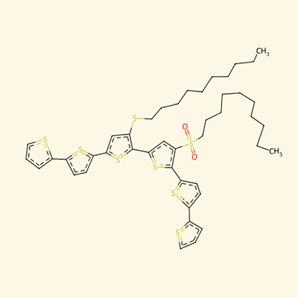 CCCCCCCCCCSc1cc(-c2ccc(-c3cccs3)s2)sc1-c1cc(S(=O)(=O)CCCCCCCCCC)c(-c2ccc(-c3cccs3)s2)s1